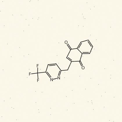 O=C1C=C(Cc2ccc(C(F)(F)F)nn2)C(=O)c2ccccc21